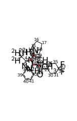 [2H]C([2H])([2H])c1nnc(C([2H])(C)C)n1C1CC2CCC(C1)N2C([2H])([2H])CC(NC(=O)C1CCC(F)(F)CC1)c1ccccc1